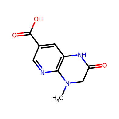 CN1CC(=O)Nc2cc(C(=O)O)cnc21